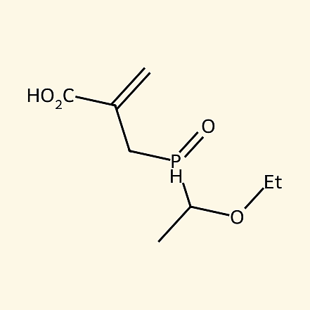 C=C(C[PH](=O)C(C)OCC)C(=O)O